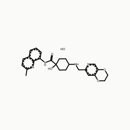 Cc1ccc2cccc(NC(=O)C3(O)CCC(NCc4cc5c(cn4)OCCO5)CC3)c2n1.Cl